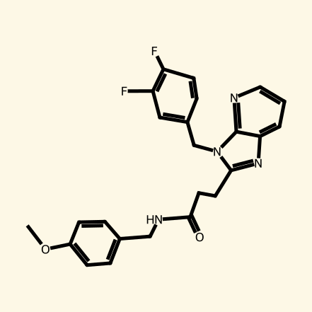 COc1ccc(CNC(=O)CCc2nc3cccnc3n2Cc2ccc(F)c(F)c2)cc1